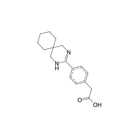 O=C(O)Cc1ccc(C2=NCC3(CCCCC3)CN2)cc1